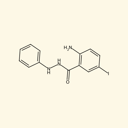 Nc1ccc(I)cc1C(=O)NNc1ccccc1